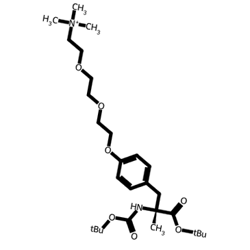 CC(C)(C)OC(=O)N[C@](C)(Cc1ccc(OCCOCCOCC[N+](C)(C)C)cc1)C(=O)OC(C)(C)C